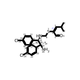 CC(C)/C=C(\C=O)SCN[C@H](c1ccc(Cl)cc1)[C@@](C)(N)C1C=CC(Cl)=CC1